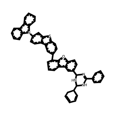 C1=CCC(C2NC(c3ccccc3)=NC(c3ccc4oc5c(-c6ccc7sc8cc(-n9c%10ccccc%10c%10ccccc%109)ccc8c7c6)cccc5c4c3)N2)C=C1